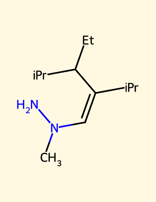 CCC(/C(=C\N(C)N)C(C)C)C(C)C